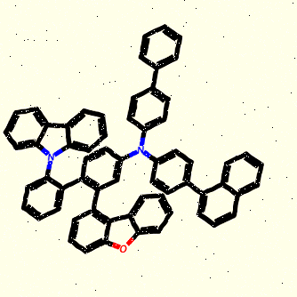 c1ccc(-c2ccc(N(c3ccc(-c4cccc5ccccc45)cc3)c3ccc(-c4ccccc4-n4c5ccccc5c5ccccc54)c(-c4cccc5oc6ccccc6c45)c3)cc2)cc1